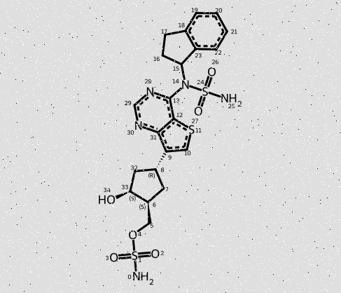 NS(=O)(=O)OC[C@@H]1C[C@@H](c2csc3c(N(C4CCc5ccccc54)S(N)(=O)=O)ncnc23)C[C@@H]1O